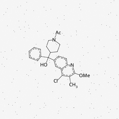 COc1nc2ccc(C(O)(c3ccccc3)C3CCN(C(C)=O)CC3)cc2c(Cl)c1C